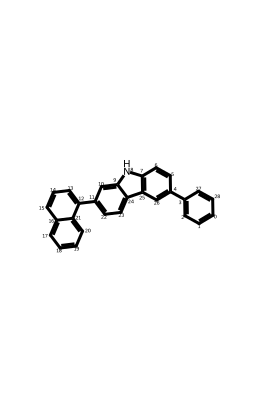 c1ccc(-c2ccc3[nH]c4cc(-c5cccc6ccccc56)ccc4c3c2)cc1